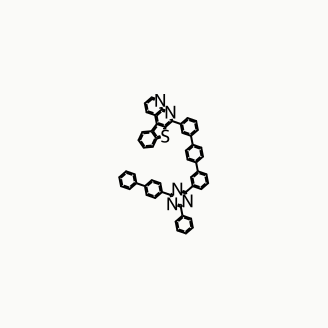 c1ccc(-c2ccc(-c3nc(-c4ccccc4)nc(-c4cccc(-c5ccc(-c6cccc(-c7nc8ncccc8c8c7sc7ccccc78)c6)cc5)c4)n3)cc2)cc1